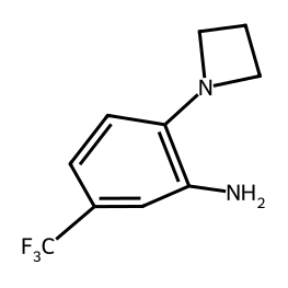 Nc1cc(C(F)(F)F)ccc1N1CCC1